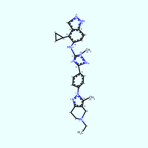 CCN1CCc2nn(-c3ccc(-c4nc(Nc5ccc6[nH]ncc6c5C5CC5)n(C)n4)cc3)c(C)c2C1